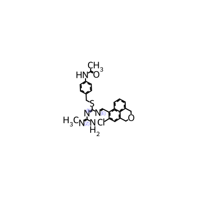 C\N=C(N)/N=C(\N=C\c1c(Cl)cc2c3c(cccc13)COC2)SCc1ccc(NC(C)=O)cc1